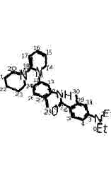 CCN(CC)c1ccc(C(=O)Nc2cc(N3CC=CC=C3N3CCCCC3)ccc2C)c(C)c1